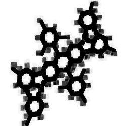 Cc1cc(C)c(-c2c3cc4c5cc(C)cc6c7cc(C)ccc7n(c4cc3c(-c3c(C)cc(C)cc3C)c3cc4c7cc(C)cc8c9cc(C)ccc9n(c4cc23)c87)c65)c(C)c1